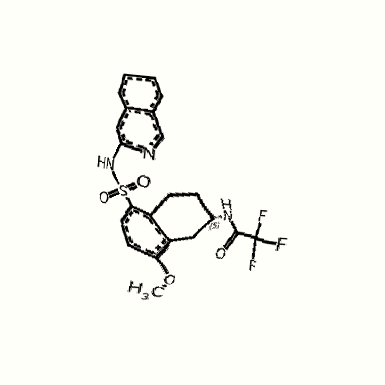 COc1ccc(S(=O)(=O)Nc2cc3ccccc3cn2)c2c1C[C@@H](NC(=O)C(F)(F)F)CC2